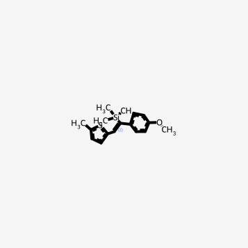 COc1ccc(/C(=C/c2ccc(C)s2)[Si](C)(C)C)cc1